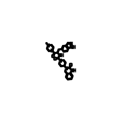 CN1CCN(C(=O)C(Cc2ccc3[nH]ncc3c2)NC(=O)N2CCC(N3Cc4ccccc4NC3=O)CC2)CC1